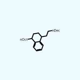 CCCCCCCCCCCCC1CCC(CCCCCCCC)c2ccccc21